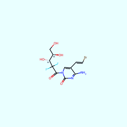 Nc1nc(=O)n(C(=O)C(F)(F)[C@H](O)[C@H](O)CO)cc1C=CBr